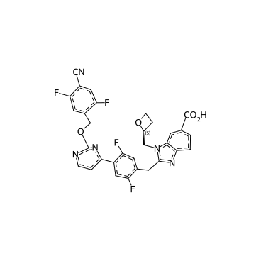 N#Cc1cc(F)c(COc2nccc(-c3cc(F)c(Cc4nc5ccc(C(=O)O)cc5n4C[C@@H]4CCO4)cc3F)n2)cc1F